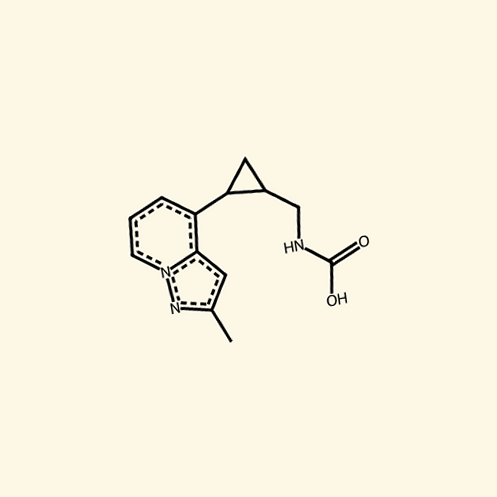 Cc1cc2c(C3CC3CNC(=O)O)cccn2n1